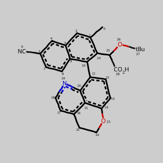 Cc1cc2cc(C#N)ccc2c(-c2ccc3c4c(ccnc24)CCO3)c1C(OC(C)(C)C)C(=O)O